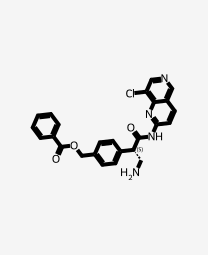 NC[C@@H](C(=O)Nc1ccc2cncc(Cl)c2n1)c1ccc(COC(=O)c2ccccc2)cc1